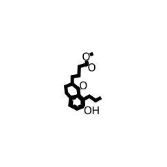 CCCc1c(O)ccc2c1C(=O)C(CCCC(=O)OC)CC2